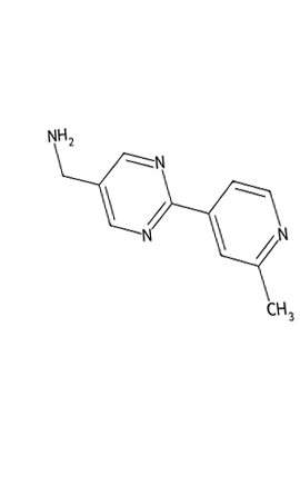 Cc1cc(-c2ncc(CN)cn2)ccn1